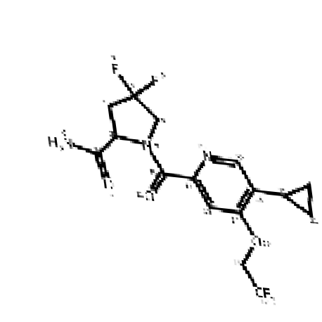 NC(=O)C1CC(F)(F)CN1C(=O)c1cc(OCC(F)(F)F)c(C2CC2)cn1